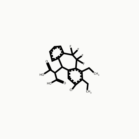 CCc1c(Cl)cc2c(c1CC)C(F)(F)C(F)(F)c1ccccc1C2C(C(=O)O)C(=O)O